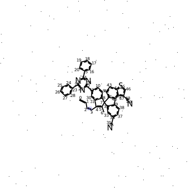 C=C/C=C\C1=C(C)C2(c3ccc(-c4nc(-c5ccccc5)nc(-c5ccccc5)n4)cc31)c1cc(C#N)ccc1-c1c2ccc2scc(C#N)c12